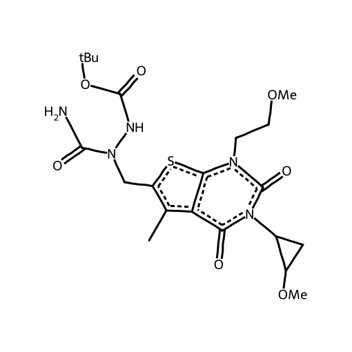 COCCn1c(=O)n(C2CC2OC)c(=O)c2c(C)c(CN(NC(=O)OC(C)(C)C)C(N)=O)sc21